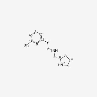 Brc1cccc(CCNC[C@@H]2CCCN2)c1